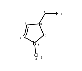 CN1[C]C(CF)[C]=N1